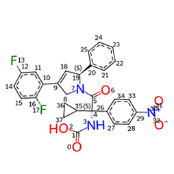 O=C(O)N[C@](C(=O)N1CC(c2cc(F)ccc2F)=C[C@H]1c1ccccc1)(c1ccc([N+](=O)[O-])cc1)C1CC1